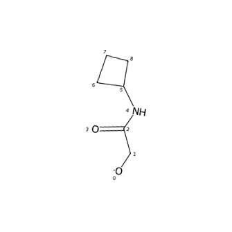 [O]CC(=O)NC1CCC1